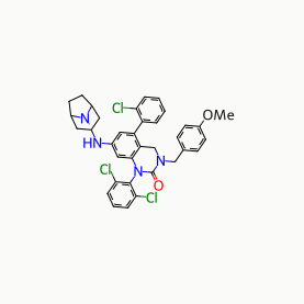 COc1ccc(CN2Cc3c(-c4ccccc4Cl)cc(NC4CC5CCC(C4)N5C)cc3N(c3c(Cl)cccc3Cl)C2=O)cc1